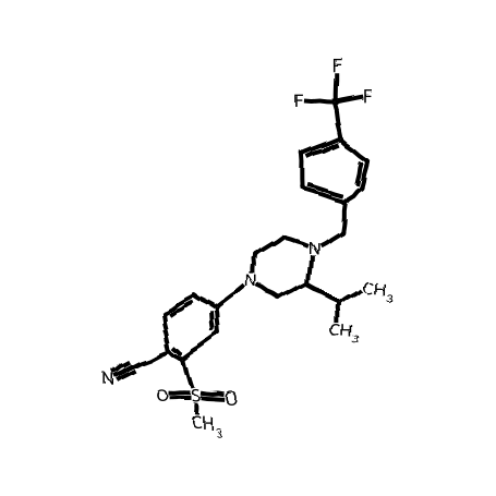 CC(C)C1CN(c2ccc(C#N)c(S(C)(=O)=O)c2)CCN1Cc1ccc(C(F)(F)F)cc1